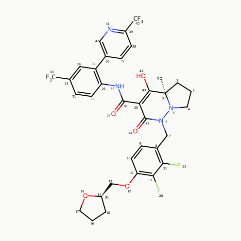 C[C@]12CCCN1N(Cc1ccc(OC[C@H]3CCCO3)c(F)c1F)C(=O)C(C(=O)Nc1ccc(C(F)(F)F)cc1-c1ccc(C(F)(F)F)nc1)=C2O